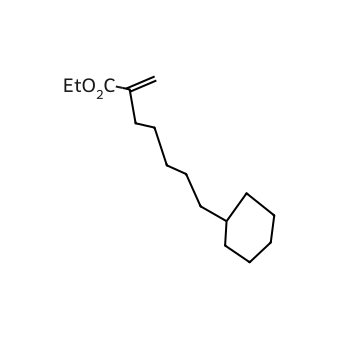 C=C(CCCCCC1CCCCC1)C(=O)OCC